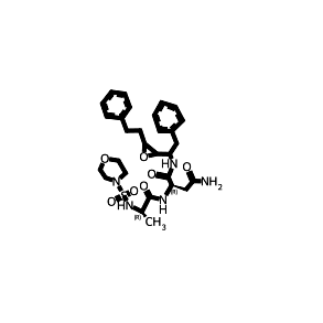 C[C@@H](NS(=O)(=O)N1CCOCC1)C(=O)N[C@H](CC(N)=O)C(=O)NC(Cc1ccccc1)C1OC1CCc1ccccc1